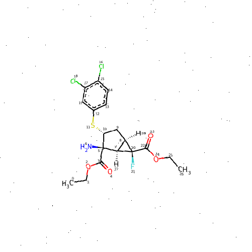 CCOC(=O)[C@@]1(N)[C@H]2[C@@H](C[C@H]1Sc1ccc(Cl)c(Cl)c1)[C@]2(F)C(=O)OCC